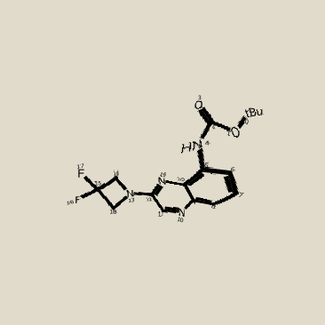 CC(C)(C)OC(=O)Nc1cccc2ncc(N3CC(F)(F)C3)nc12